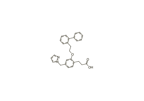 O=C(O)CCc1ccc(Cn2cccn2)cc1OCCc1ccccc1-c1ccccc1